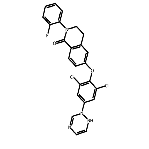 O=C1c2ccc(Oc3c(Cl)cc(N4C=NC=CN4)cc3Cl)cc2CCN1c1ccccc1F